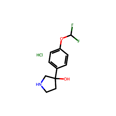 Cl.OC1(c2ccc(OC(F)F)cc2)CCNC1